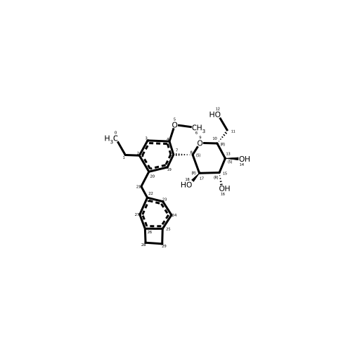 CCc1cc(OC)c([C@@H]2O[C@H](CO)[C@@H](O)[C@H](O)[C@H]2O)cc1Cc1ccc2c(c1)CC2